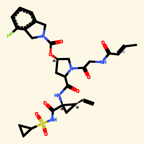 C=C[C@@H]1C[C@]1(NC(=O)C1C[C@@H](OC(=O)N2Cc3cccc(F)c3C2)CN1C(=O)CNC(=O)/C=C/C)C(=O)NS(=O)(=O)C1CC1